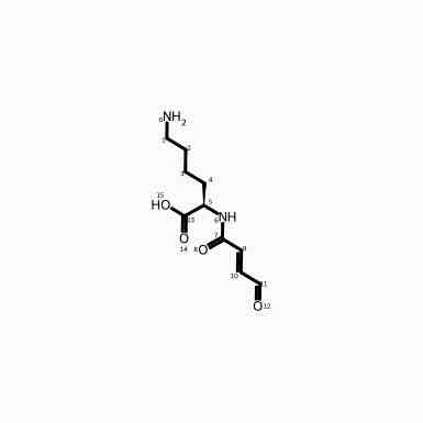 NCCCC[C@@H](NC(=O)/C=C/C=O)C(=O)O